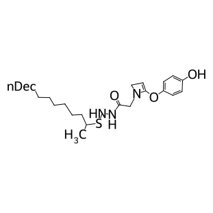 CCCCCCCCCCCCCCCCC(C)SNNC(=O)CN1CC=C1Oc1ccc(O)cc1